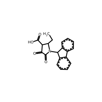 CCC1C(C(=O)O)C(=O)C(=O)N1C1c2ccccc2-c2ccccc21